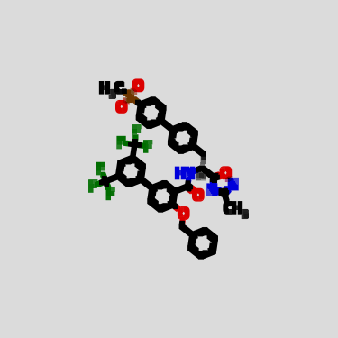 Cc1noc([C@@H](Cc2ccc(-c3ccc(S(C)(=O)=O)cc3)cc2)NC(=O)c2cc(-c3cc(C(F)(F)F)cc(C(F)(F)F)c3)ccc2OCc2ccccc2)n1